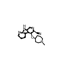 CN1CCCC(Oc2c(C#N)ncc3[nH]c4ncccc4c23)CC1